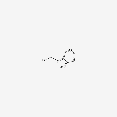 CC(C)Cc1ccc2ccocc1-2